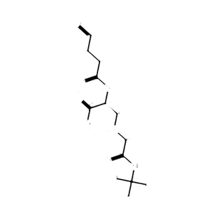 C=CCCC(=O)N[C@@H](COCC(=O)NC(C)(C)C)C(=O)O